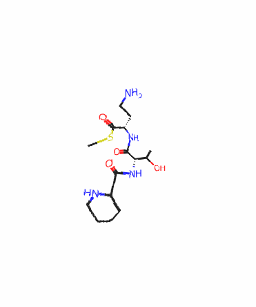 CSC(=O)[C@H](CCN)NC(=O)[C@@H](NC(=O)C1CCCCN1)C(C)O